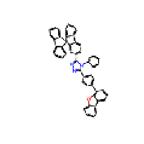 c1ccc(-n2c(-c3ccc(-c4cccc5c4oc4ccccc45)cc3)nnc2-c2ccc3c(c2)C2(c4ccccc4-c4ccccc42)c2ccccc2-3)cc1